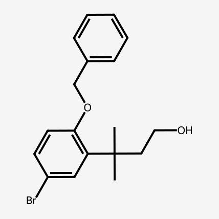 CC(C)(CCO)c1cc(Br)ccc1OCc1ccccc1